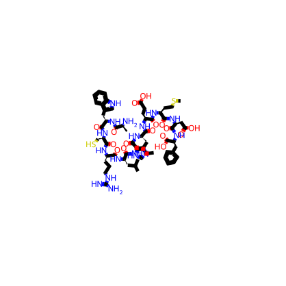 CC[C@H](C)[C@H](NC(=O)[C@H](CC(C)C)NC(=O)[C@H](CCCNC(=N)N)NC(=O)[C@H](CS)NC(=O)[C@H](Cc1c[nH]c2ccccc12)NC(=O)[C@H](C)N)C(=O)N[C@@H](Cc1c[nH]cn1)C(=O)N[C@@H](CCC(=O)O)C(=O)N[C@@H](CCSC)C(=O)N[C@@H](CC(=O)O)C(=O)N[C@@H](Cc1ccccc1)C(=O)O